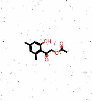 CC(=O)OCC(=O)c1c(C)cc(C)cc1O